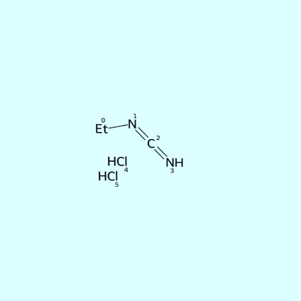 CCN=C=N.Cl.Cl